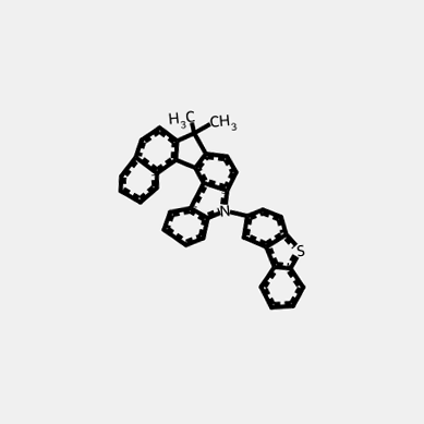 CC1(C)c2ccc3ccccc3c2-c2c1ccc1c2c2ccccc2n1-c1ccc2sc3ccccc3c2c1